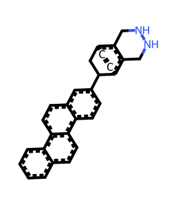 c1ccc2c(c1)ccc1c3ccc(C4Cc5ccc4c4c5CNNC4)cc3ccc21